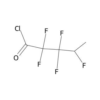 CC(F)C(F)(F)C(F)(F)C(=O)Cl